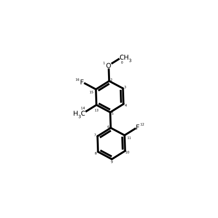 COc1ccc(-c2ccccc2F)c(C)c1F